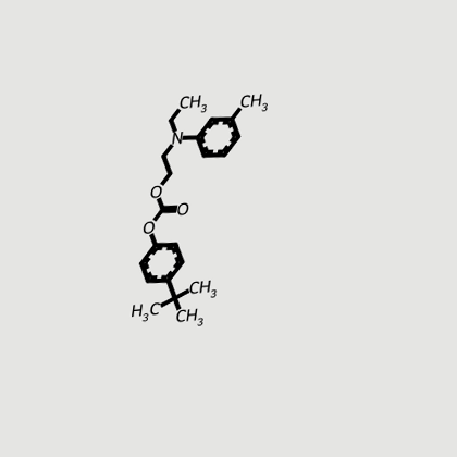 CCN(CCOC(=O)Oc1ccc(C(C)(C)C)cc1)c1cccc(C)c1